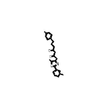 Cc1ccc(CCCC(=O)CC(=O)Cc2nc(-c3cccc(C)c3)oc2C)cc1